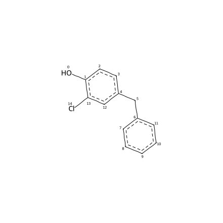 Oc1ccc(Cc2ccccc2)cc1Cl